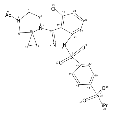 CC(=O)N1CCN(c2nn(S(=O)(=O)c3ccc(S(=O)(=O)C(C)C)cc3)c3cccc(Cl)c23)C2(CC2)C1